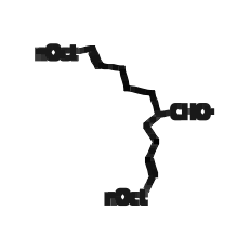 CCCCCCCCC=CCCCC([C]=O)CCC=CCCCCCCCC